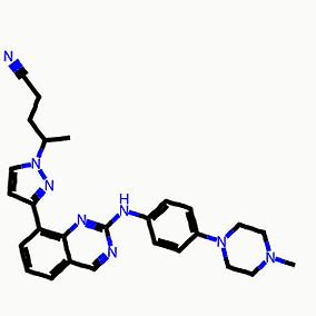 CC(CCC#N)n1ccc(-c2cccc3cnc(Nc4ccc(N5CCN(C)CC5)cc4)nc23)n1